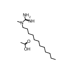 CC(=O)O.CCCCCCCCCCCCN(C)C(=N)N